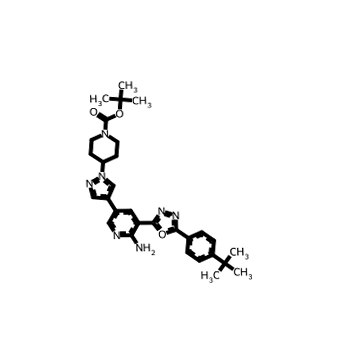 CC(C)(C)OC(=O)N1CCC(n2cc(-c3cnc(N)c(-c4nnc(-c5ccc(C(C)(C)C)cc5)o4)c3)cn2)CC1